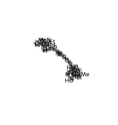 CC[C@H](NC)C(=O)N[C@@H]1C(=O)N2[C@@H](CC[C@@H]1CNC(=O)CCc1cn(CCOCCOCCOCCNC(=O)[C@@H](NC(=O)[C@@H]3CC[C@@H]4CC[C@H](CO)[C@H](NC(=O)[C@H](CC)NC)C(=O)N43)c3ccccc3)nn1)CC[C@H]2C(=O)NC(c1ccccc1)c1ccccc1